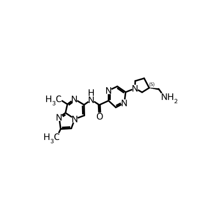 Cc1cn2cc(NC(=O)c3cnc(N4CC[C@@H](CN)C4)cn3)nc(C)c2n1